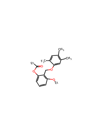 CCOc1cccc(OC(=O)CC)c1COc1cc(C)c(C)cc1C(F)(F)F